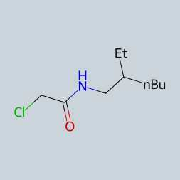 CCCCC(CC)CNC(=O)CCl